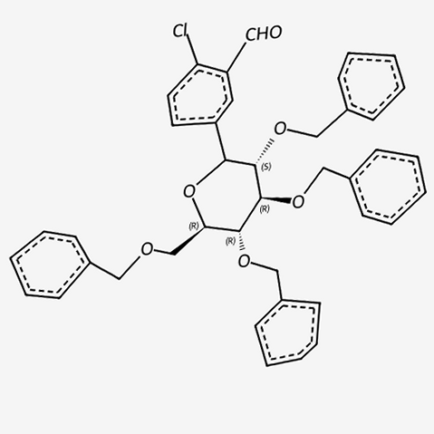 O=Cc1cc(C2O[C@H](COCc3ccccc3)[C@@H](OCc3ccccc3)[C@H](OCc3ccccc3)[C@H]2OCc2ccccc2)ccc1Cl